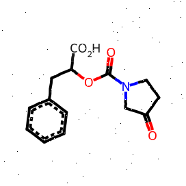 O=C1CCN(C(=O)OC(Cc2ccccc2)C(=O)O)C1